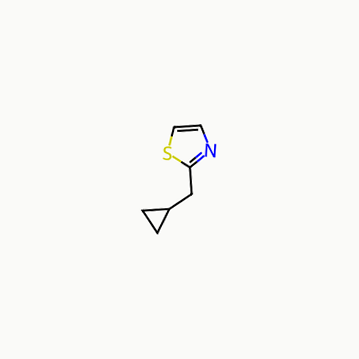 c1csc(CC2CC2)n1